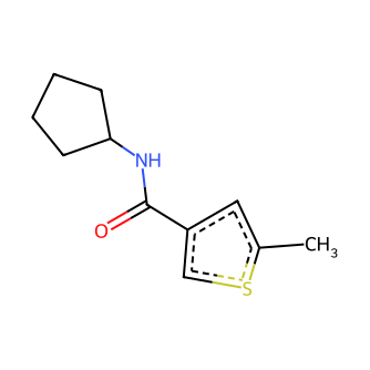 Cc1cc(C(=O)NC2CCCC2)cs1